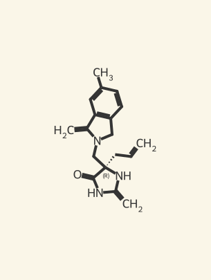 C=CC[C@]1(CN2Cc3ccc(C)cc3C2=C)NC(=C)NC1=O